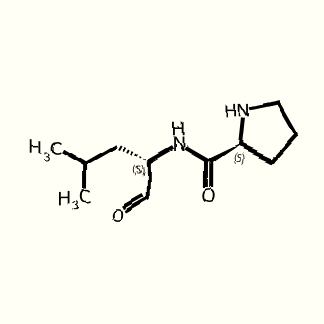 CC(C)C[C@@H](C=O)NC(=O)[C@@H]1CCCN1